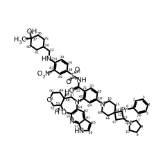 CC(C)c1ccccc1[C@@H]1CCCN1C1CC2(CCN(c3ccc(C(=O)NS(=O)(=O)c4ccc(NCC5CCC(C)(O)CC5)c([N+](=O)[O-])c4)c(N4C[C@H]5CCOC[C@@H]5Oc5nc6[nH]ccc6cc54)c3)CC2)C1